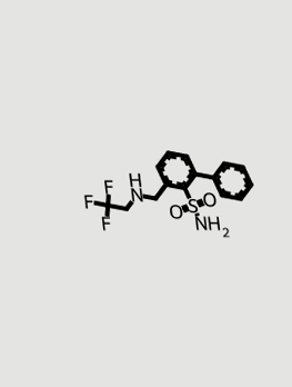 NS(=O)(=O)c1c(CNCC(F)(F)F)cccc1-c1ccccc1